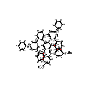 CC(C)(C)c1ccc2c(c1)c(=O)c1cc(-c3c(-c4nc(-c5ccccc5)nc(-c5ccccc5)n4)cccc3-c3nc(-c4ccccc4)nc(-c4ccccc4)n3)cc3c(=O)c4cc(C(C)(C)C)ccc4n2c13